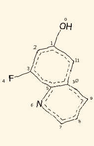 Oc1cc(F)c2ncccc2c1